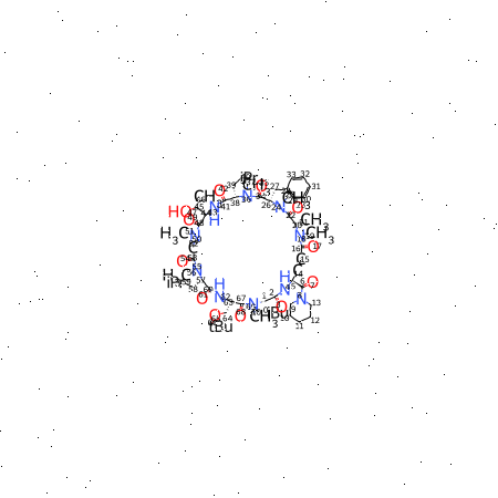 CC[C@H](C)[C@H]1C(=O)N[C@H](C(=O)N2CCCCC2)CCC(=O)N(C)[C@@H](C)C(=O)N(C)[C@@H](Cc2ccccc2)C(=O)N(C)[C@@H](CC(C)C)C(=O)N[C@@H]([C@@H](C)O)C(=O)N(C)CC(=O)N(C)[C@@H](CC(C)C)C(=O)N[C@@H](COC(C)(C)C)C(=O)N1C